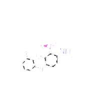 Cc1cccc(C)c1Oc1c(Br)ccc(N)c1[N+](=O)[O-]